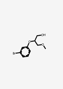 COCC(CO)Oc1cccc(Br)c1